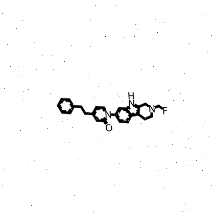 O=c1cc(CCc2ccccc2)ccn1-c1ccc2c3c([nH]c2c1)CN(CF)CC3